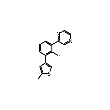 [CH2]c1c(-c2csc(C)c2)cccc1-c1cnccn1